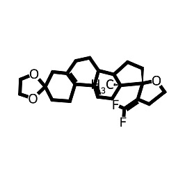 C[C@]12CC=C3C4=C(CCC3C1CC[C@]21OCCC1=C(F)F)CC1(CC4)OCCO1